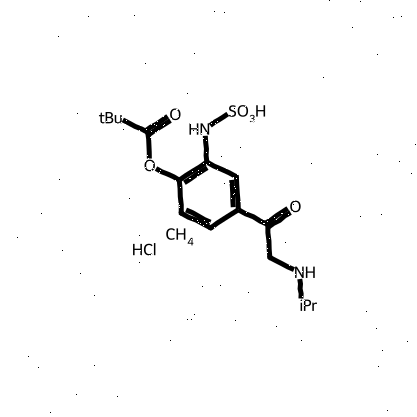 C.CC(C)NCC(=O)c1ccc(OC(=O)C(C)(C)C)c(NS(=O)(=O)O)c1.Cl